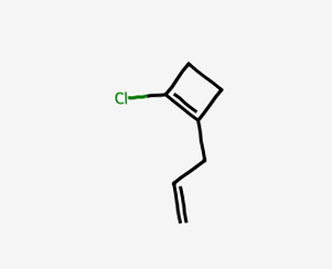 C=CCC1=C(Cl)CC1